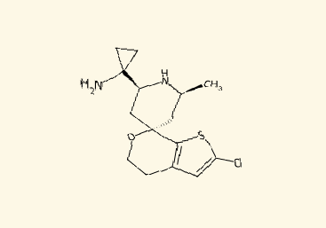 C[C@H]1C[C@@]2(C[C@@H](C3(N)CC3)N1)OCCc1cc(Cl)sc12